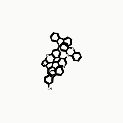 N#Cc1ccc2c(c1)c1ccccc1n2-c1cccc2c1C1(c3ccc(-n4c5ccccc5c5ccccc54)cc3O2)c2cccnc2-c2ncc(N3c4ccccc4Sc4ccccc43)cc21